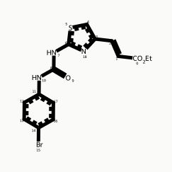 CCOC(=O)C=Cc1csc(NC(=O)Nc2ccc(Br)cc2)n1